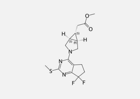 COC(=O)C[C@@H]1[C@H]2CN(c3nc(SC)nc4c3CCC4(F)F)C[C@@H]12